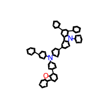 c1ccc(-c2ccc(N(c3ccc(-c4ccc5c(c4)c4cc(-c6ccccc6)cc(-c6ccccc6)c4n5-c4ccccc4)cc3)c3ccc(-c4cccc5c4oc4ccccc45)cc3)cc2)cc1